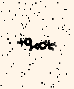 CC(C)(C)N1CCC2(CC1)CN(C(=O)c1ccnc(C(F)(F)F)c1)C2